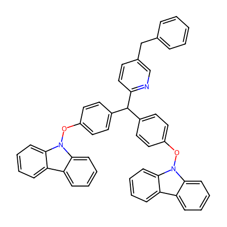 c1ccc(Cc2ccc(C(c3ccc(On4c5ccccc5c5ccccc54)cc3)c3ccc(On4c5ccccc5c5ccccc54)cc3)nc2)cc1